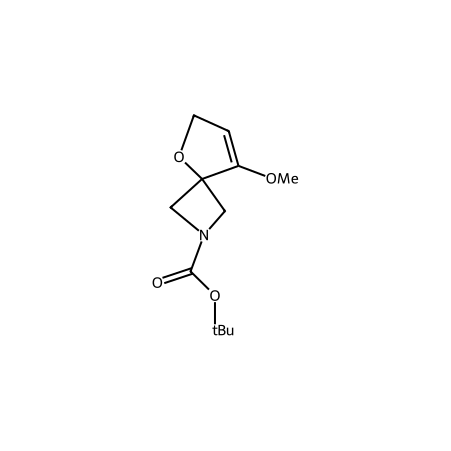 COC1=CCOC12CN(C(=O)OC(C)(C)C)C2